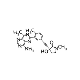 Cc1ccc(C#CC2(O)CCN(C)C2=O)cc1-c1nc(C)c2ncnc(N)c2n1